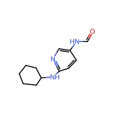 O=CNc1ccc(NC2CCCCC2)nc1